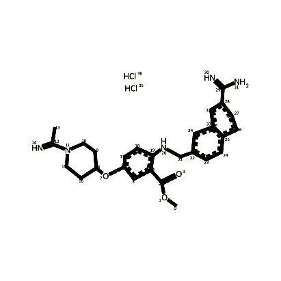 COC(=O)c1cc(OC2CCN(C(C)=N)CC2)ccc1NCc1ccc2ccc(C(=N)N)cc2c1.Cl.Cl